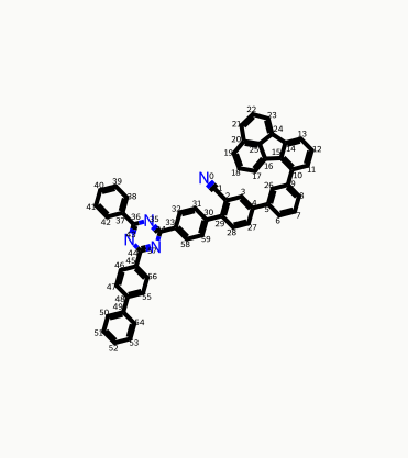 N#Cc1cc(-c2cccc(-c3cccc4c3-c3cccc5cccc-4c35)c2)ccc1-c1ccc(-c2nc(-c3ccccc3)nc(-c3ccc(-c4ccccc4)cc3)n2)cc1